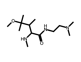 CNC(C(=O)NCCN(C)C)C(C)C(C)(C)OC